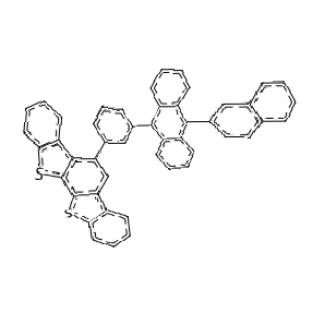 c1cc(-c2c3ccccc3c(-c3ccc4ccccc4c3)c3ccccc23)cc(-c2cc3c4ccccc4sc3c3sc4ccccc4c23)c1